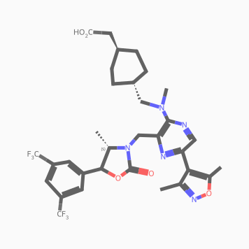 Cc1noc(C)c1-c1cnc(N(C)C[C@H]2CC[C@H](CC(=O)O)CC2)c(CN2C(=O)OC(c3cc(C(F)(F)F)cc(C(F)(F)F)c3)[C@@H]2C)n1